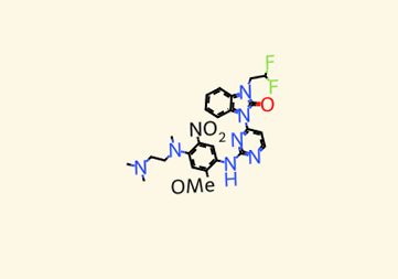 COc1cc(N(C)CCN(C)C)c([N+](=O)[O-])cc1Nc1nccc(-n2c(=O)n(CC(F)F)c3ccccc32)n1